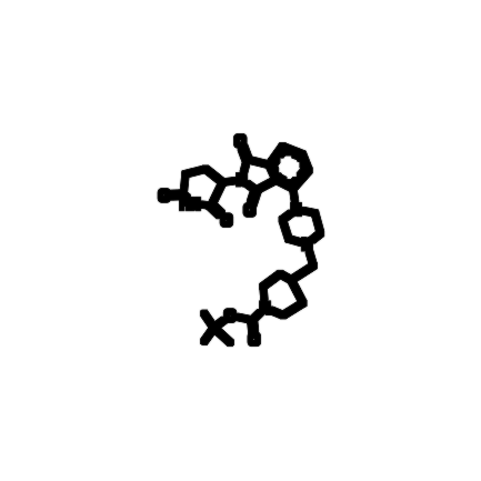 CC(C)(C)OC(=O)N1CCC(CN2CCN(c3cccc4c3C(=O)N(C3CCC(=O)NC3=O)C4=O)CC2)CC1